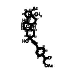 CC(=O)OCC(=O)c1ccc(C#CC2(O)CC[C@@]3(C)C(CC[C@H]4[C@@H]5CC[C@H](C(C)=O)[C@@]5(C)CC[C@@H]43)C2)cc1